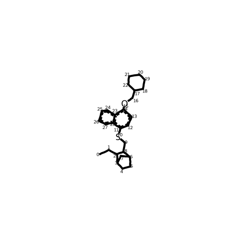 CCC1C2CCC(C2)C1CSc1ccc(OCC2CCCCC2)c2ccccc12